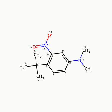 CN(C)c1ccc(C(C)(C)C)c([N+](=O)[O-])c1